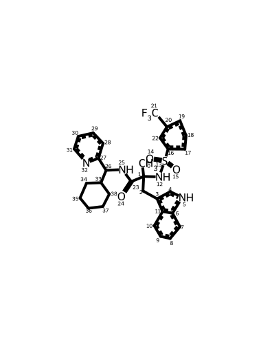 CC(Cc1c[nH]c2ccccc12)(NS(=O)(=O)c1cccc(C(F)(F)F)c1)C(=O)NC(c1ccccn1)C1CCCCC1